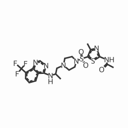 CC(=O)Nc1nc(C)c(S(=O)(=O)N2CCN(CC(C)Nc3ncnc4c(C(F)(F)F)cccc34)CC2)s1